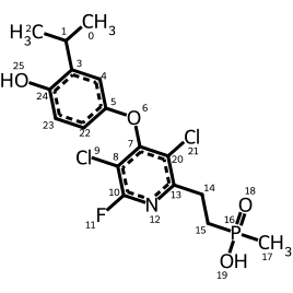 CC(C)c1cc(Oc2c(Cl)c(F)nc(CCP(C)(=O)O)c2Cl)ccc1O